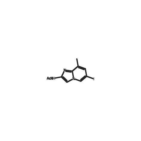 CC(=O)Nc1cn2cc(I)cc(C)c2n1